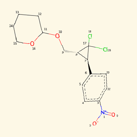 O=[N+]([O-])c1ccc([C@H]2[C@H](COC3CCCCO3)C2(Cl)Cl)cc1